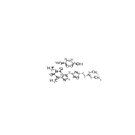 CCN(CC)CCc1nc(Cn2cnc3c2c(=O)n(C)c(=O)n3C)no1.O=C(O)/C=C\C(=O)O